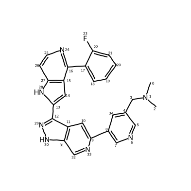 CN(C)Cc1cncc(-c2cc3c(-c4cc5c(-c6ccccc6F)nccc5[nH]4)n[nH]c3cn2)c1